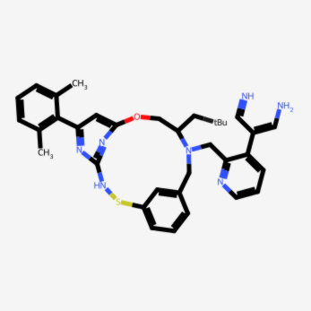 Cc1cccc(C)c1-c1cc2nc(n1)NSc1cccc(c1)CN(Cc1ncccc1/C(C=N)=C/N)C(CC(C)(C)C)CO2